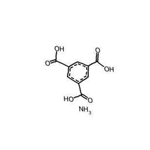 N.O=C(O)c1cc(C(=O)O)cc(C(=O)O)c1